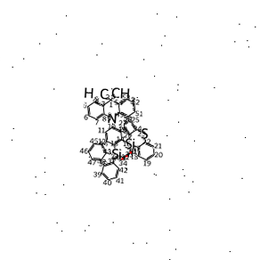 CC1(C)c2ccccc2N(c2ccc3c(c2)[Si]2(c4ccccc4Sc4ccccc42)c2ccccc2[Si]3(c2ccccc2)c2ccccc2)c2ccccc21